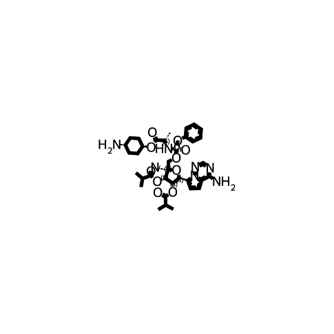 CC(C)C(=O)O[C@H]1[C@H](c2ccc3c(N)ncnn23)O[C@](C#N)(COP(=O)(N[C@@H](C)C(=O)O[C@H]2CC[C@H](N)CC2)Oc2ccccc2)[C@H]1OC(=O)C(C)C